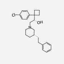 O[C@H](CN1CCC[C@@H](CCc2ccccc2)C1)C1(c2ccc(Cl)cc2)CCC1